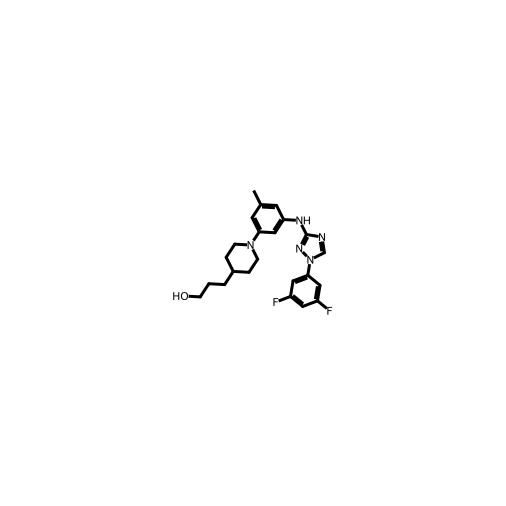 Cc1cc(Nc2ncn(-c3cc(F)cc(F)c3)n2)cc(N2CCC(CCCO)CC2)c1